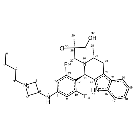 CCCCN1CC(Nc2cc(F)c([C@@H]3c4[nH]c5ccccc5c4C[C@@H](C)N3C[C@@](C)(Cl)CO)c(F)c2)C1